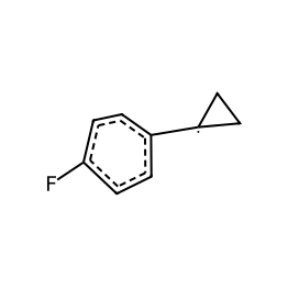 Fc1ccc([C]2CC2)cc1